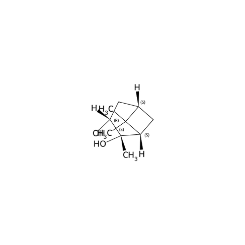 CC1(C)[C@@H]2C[C@@H](O)[C@@](C)(O)[C@H]1C2